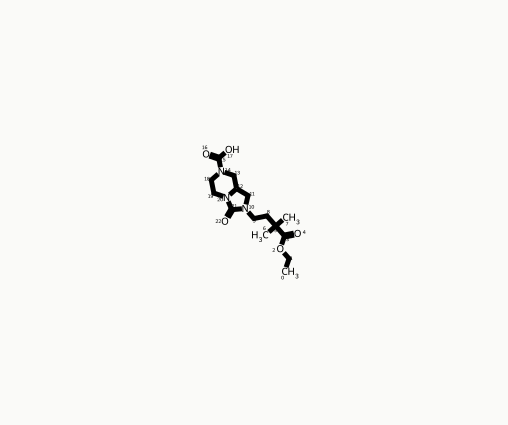 CCOC(=O)C(C)(C)CCN1CC2CN(C(=O)O)CCN2C1=O